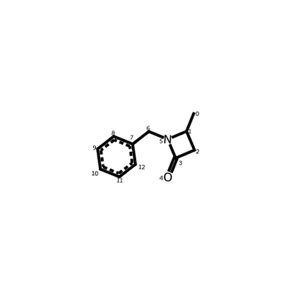 CC1CC(=O)N1Cc1ccccc1